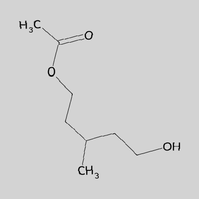 CC(=O)OCCC(C)CCO